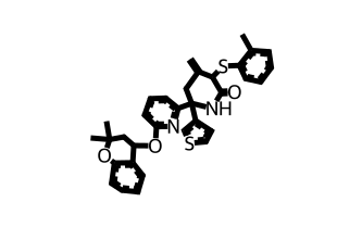 C=C1CC(c2ccsc2)(c2cccc(OC3CC(C)(C)Oc4ccccc43)n2)NC(=O)C1Sc1ccccc1C